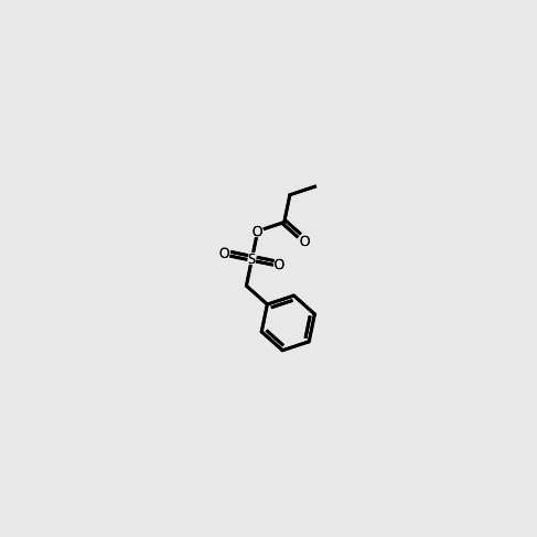 CCC(=O)OS(=O)(=O)Cc1ccccc1